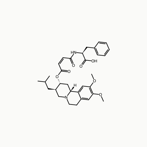 COc1cc2c(cc1OC)[C@H]1C[C@@H](OC(=O)/C=C\C(=O)N[C@@H](Cc3ccccc3)C(=O)O)[C@H](CC(C)C)CN1CC2